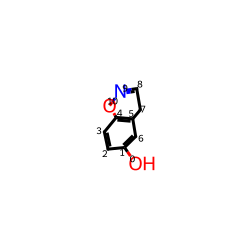 Oc1ccc2c(c1)CC=NO2